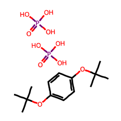 CC(C)(C)Oc1ccc(OC(C)(C)C)cc1.O=P(O)(O)O.O=P(O)(O)O